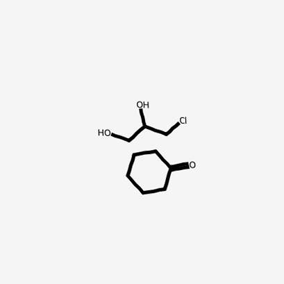 O=C1CCCCC1.OCC(O)CCl